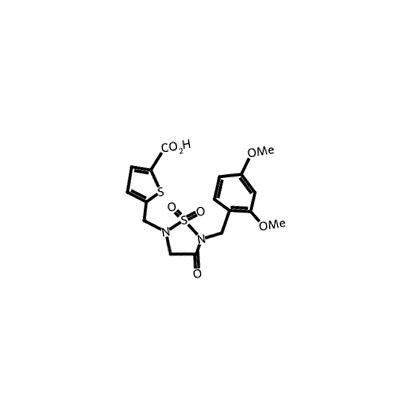 COc1ccc(CN2C(=O)CN(Cc3ccc(C(=O)O)s3)S2(=O)=O)c(OC)c1